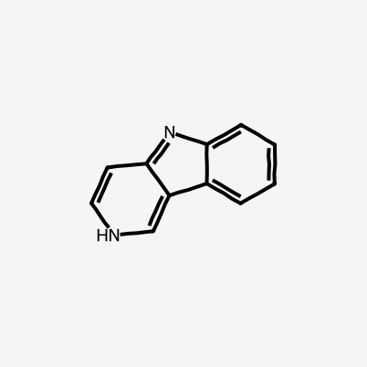 c1ccc2c3c[nH]ccc-3nc2c1